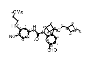 COCCNc1cc(NC(=O)N2c3nc(C=O)ccc3C3(OCC4CN(C)C4)CC2C3)ncc1C#N